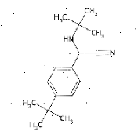 CC(C)(C)NC(C#N)c1ccc(C(C)(C)C)cc1